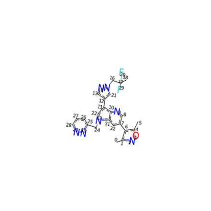 Cc1noc(C)c1-c1cnc2c(-c3cnn(CC(C)(F)F)c3)cn(Cc3cccnn3)c2c1